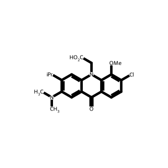 COc1c(Cl)ccc2c(=O)c3cc(N(C)C)c(C(C)C)cc3n(CC(=O)O)c12